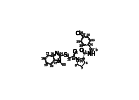 C[C@H](NC(=O)[C@@H]1CCCN1C(=O)CSc1nc2ccccc2n1C)c1ccc(Cl)cc1